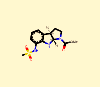 COC(=O)N1CC[C@@H]2c3cccc(NS(C)(=O)=O)c3N[C@H]21